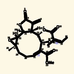 C=C1C(=O)O[C@H]2[C@H]1[C@H](OC(=O)/C(C)=C\C)[C@@H](OC(C)=O)/C(C(=O)OC)=C\CC[C@@]1(C)O[C@H]21